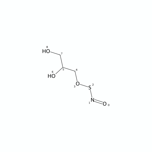 O=NSOCC(O)CO